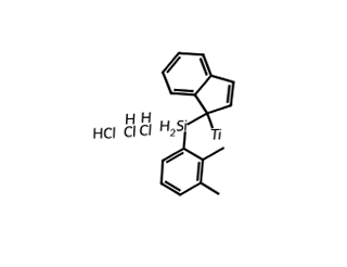 Cc1cccc([SiH2][C]2([Ti])C=Cc3ccccc32)c1C.Cl.Cl.Cl